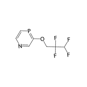 FC(F)C(F)(F)COc1cnccp1